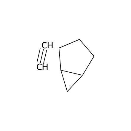 C#C.C1CC2CC2C1